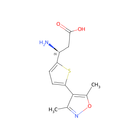 Cc1noc(C)c1-c1ccc([C@@H](N)CC(=O)O)s1